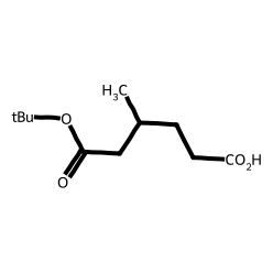 CC(CCC(=O)O)CC(=O)OC(C)(C)C